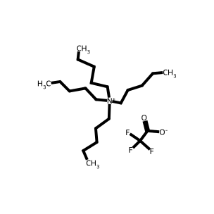 CCCCC[N+](CCCCC)(CCCCC)CCCCC.O=C([O-])C(F)(F)F